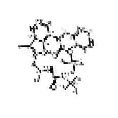 Cc1c(C[C@H](C)NC(=O)OC(C)(C)C)sc2c(N(Cc3ccncn3)C(=O)OC(C)(C)C)cnnc12